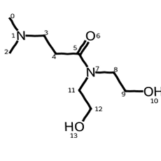 CN(C)CCC(=O)N(CCO)CCO